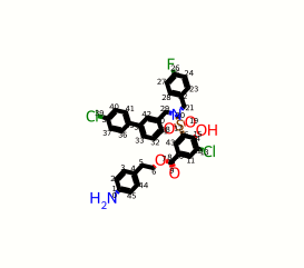 Nc1ccc(CCOC(=O)c2cc(Cl)c(O)c(S(=O)(=O)N(Cc3ccc(F)cc3)Cc3cccc(-c4ccc(Cl)cc4)c3)c2)cc1